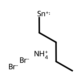 CCC[CH2][Sn+].[Br-].[Br-].[NH4+]